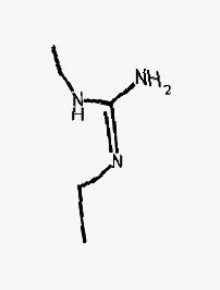 CCN=C(N)NC